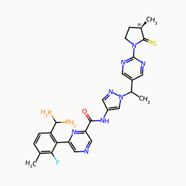 Cc1ccc(C(P)P)c(-c2cncc(C(=O)Nc3cnn(C(C)c4cnc(N5CC[C@@H](C)C5=S)nc4)c3)n2)c1F